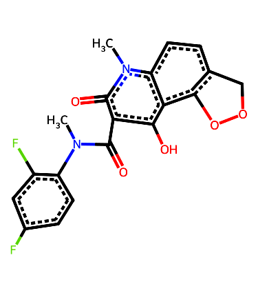 CN(C(=O)c1c(O)c2c3c(ccc2n(C)c1=O)COO3)c1ccc(F)cc1F